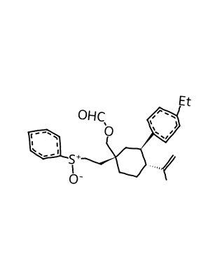 C=C(C)[C@@H]1CC[C@](CC[S+]([O-])c2ccccc2)(COC=O)C[C@H]1c1ccc(CC)cc1